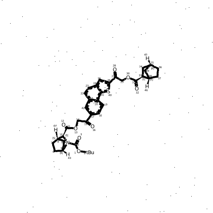 CC(C)(C)OC(=O)N1[C@@H]2CC[C@@H](C2)[C@H]1C(=O)OCC(=O)c1ccc2c(ccc3cc(C(=O)COC(=O)[C@H]4C[C@@H]5CC[C@H]4C5)sc32)c1